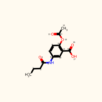 CCCC(=O)Nc1ccc(OC(C)=O)c(C(=O)O)c1